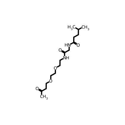 CC(=O)CCOCCOCCNC(=O)CNC(=O)CCC(C)C